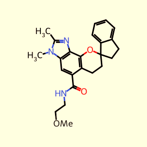 COCCNC(=O)c1cc2c(nc(C)n2C)c2c1CCC1(CCc3ccccc31)O2